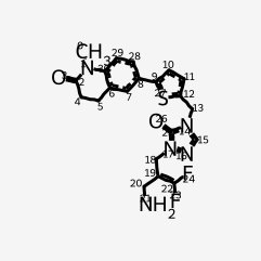 CN1C(=O)CCc2cc(-c3ccc(Cn4cnn(CC(CN)=C(F)F)c4=O)s3)ccc21